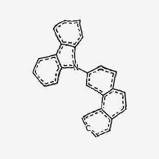 c1ccc2c(c1)ccc1ccc(-n3c4ccccc4c4ccccc43)cc12